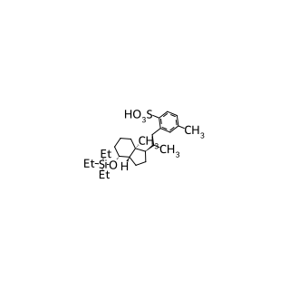 CC[Si](CC)(CC)O[C@@H]1CCC[C@@]2(C)[C@@H](C(C)Cc3cc(C)ccc3S(=O)(=O)O)CC[C@H]12